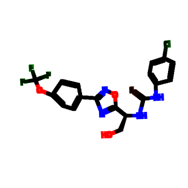 OC[C@H](NC(=S)Nc1ccc(Cl)cc1)c1nc(-c2ccc(OC(F)(F)F)cc2)no1